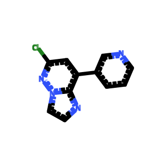 Clc1cc(-c2cccnc2)c2nccn2n1